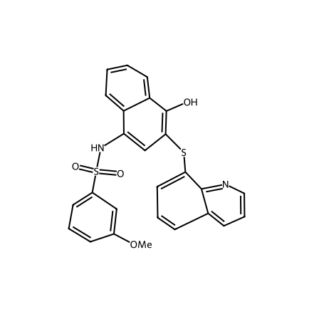 COc1cccc(S(=O)(=O)Nc2cc(Sc3cccc4cccnc34)c(O)c3ccccc23)c1